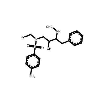 CC(C)CN(CC(O)C(Cc1ccccc1)NC=O)S(=O)(=O)c1ccc(N)cc1